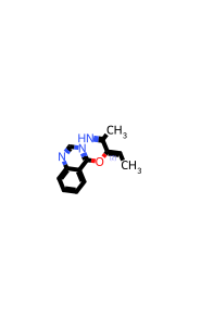 C/C=C(\Oc1ncnc2ccccc12)C(C)=N